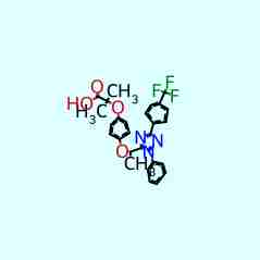 CC(Oc1ccc(OC(C)(C)C(=O)O)cc1)c1nc(-c2ccc(C(F)(F)F)cc2)nn1-c1ccccc1